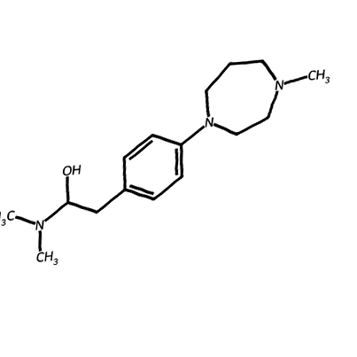 CN1CCCN(c2ccc(CC(O)N(C)C)cc2)CC1